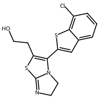 OCCC1=C(c2cc3cccc(Cl)c3s2)N2CCN=C2S1